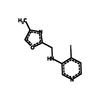 Cc1coc(CNc2cnccc2I)n1